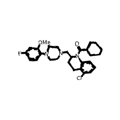 COc1cc(F)ccc1N1CCN(CC2CCc3c(Cl)cccc3N2C(=O)C2CCCCC2)CC1